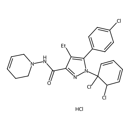 CCc1c(C(=O)NN2CC=CCC2)nn(C2(Cl)C=CC=CC2Cl)c1-c1ccc(Cl)cc1.Cl